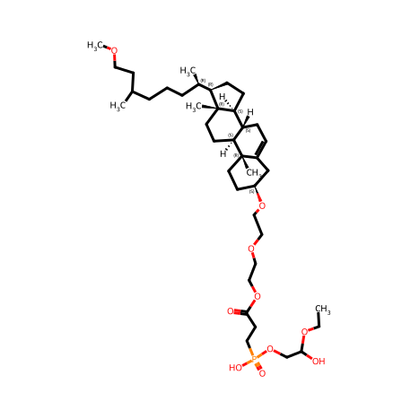 CCOC(O)COP(=O)(O)CCC(=O)OCCOCCO[C@H]1CC[C@@]2(C)C(=CC[C@H]3[C@@H]4CC[C@H]([C@H](C)CCCC(C)CCOC)[C@@]4(C)CC[C@@H]32)C1